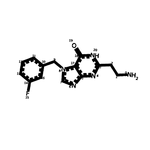 NCCc1nc2ncn(Cc3cccc(F)c3)c2c(=O)[nH]1